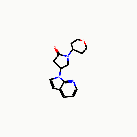 O=C1CC(n2ccc3cccnc32)CN1C1CCOCC1